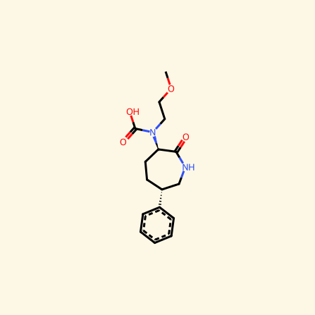 COCCN(C(=O)O)[C@@H]1CC[C@@H](c2ccccc2)CNC1=O